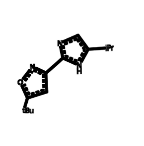 CC(C)c1cnc(-c2cc(C(C)(C)C)on2)[nH]1